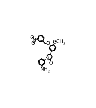 COc1ccc([C@H]2CC(=O)N(c3cccc(N)c3)C2)cc1OCc1cccc([N+](=O)[O-])c1